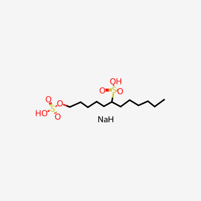 CCCCCCC(CCCCCOS(=O)(=O)O)S(=O)(=O)O.[NaH]